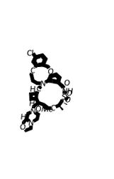 CO[C@]1(CN2CCN3CCOC[C@@H]3C2)/C=C/C[C@H](C)[C@@H](C)S(=O)(=O)NC(=O)c2ccc3c(c2)N(CCCCc2cc(Cl)ccc2CO3)C[C@@H]2CC[C@H]21